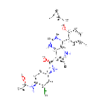 CCC(=O)N[C@H]1CC[C@@H](NC(=O)c2c(C)[nH]c3c(-c4cc(C)ccc4OCC4CC4)ncnc23)C[C@H]1F